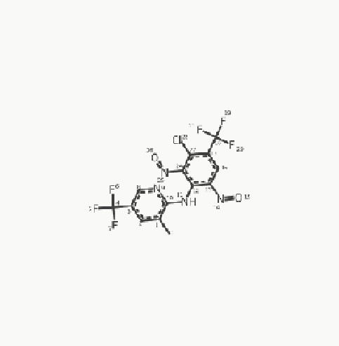 Cc1cc(C(F)(F)F)cnc1Nc1c(N=O)cc(C(F)(F)F)c(Cl)c1N=O